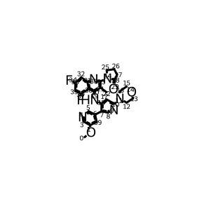 COc1cncc(-c2cnc(N3CCOCC3)cc2Nc2c(C)c(N3CCCC3=O)nc3cc(F)cc(F)c23)c1